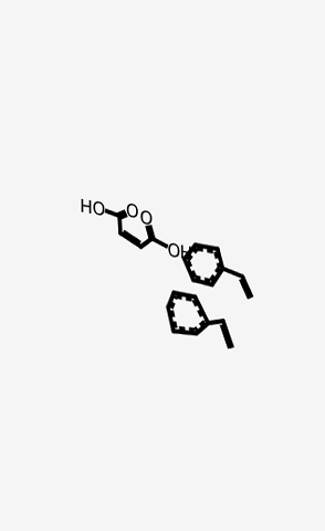 C=Cc1ccccc1.C=Cc1ccccc1.O=C(O)/C=C\C(=O)O